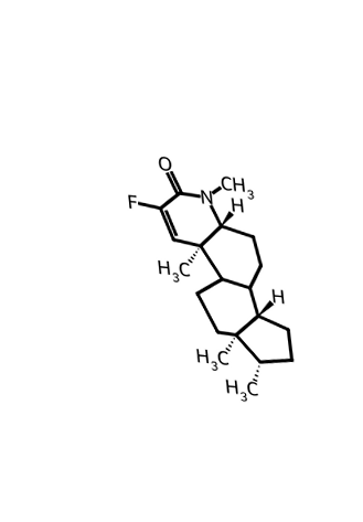 C[C@H]1CC[C@H]2C3CC[C@H]4N(C)C(=O)C(F)=C[C@]4(C)C3CC[C@]12C